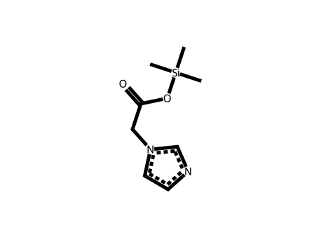 C[Si](C)(C)OC(=O)Cn1ccnc1